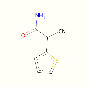 N#CC(C(N)=O)c1cccs1